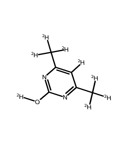 [2H]Oc1nc(C([2H])([2H])[2H])c([2H])c(C([2H])([2H])[2H])n1